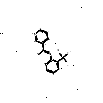 C/C(=N\c1ccccc1C(F)(F)F)c1cccnc1